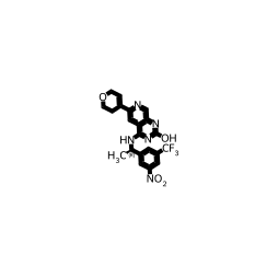 C[C@@H](Nc1nc(O)nc2cnc(C3=CCOCC3)cc12)c1cc([N+](=O)[O-])cc(C(F)(F)F)c1